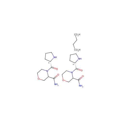 NC(=O)C1COCCN1C(=O)[C@@H]1CCCN1.NC(=O)C1COCCN1C(=O)[C@@H]1CCCN1.O=C(O)CCC(=O)O